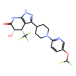 O=C1Nc2[nH]nc(C3CCN(c4ccc(OC(F)F)cn4)CC3)c2[C@H](C(F)(F)F)[C@@H]1O